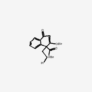 COC(=O)C1(CCC(C)C)C(OC)=CC(=O)c2ccccc21